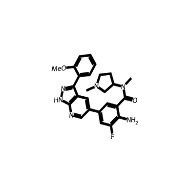 COc1ccccc1-c1n[nH]c2ncc(-c3cc(F)c(N)c(C(=O)N(C)C4CCN(C)C4)c3)cc12